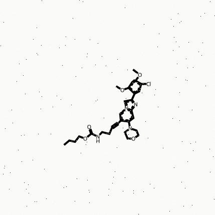 CCCCOC(=O)NCCC#Cc1cn2cc(-c3cc(Cl)c(OC)cc3OC)nc2cc1N1CCOCC1